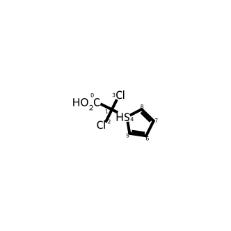 O=C(O)C(Cl)(Cl)[SH]1C=CC=C1